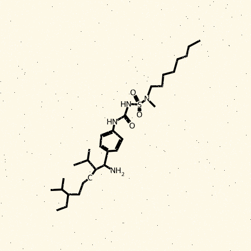 CCCCCCCCN(C)S(=O)(=O)NC(=O)Nc1ccc(C(N)C(CCCC(CC)C(C)C)C(C)C)cc1